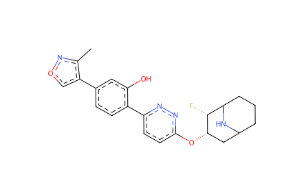 Cc1nocc1-c1ccc(-c2ccc(O[C@H]3CC4CCCC(N4)[C@H]3F)nn2)c(O)c1